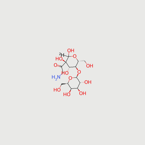 [2H]C1(O)O[C@H](CO)[C@@H](O[C@@H]2O[C@H](CO)[C@H](O)[C@H](O)[C@H]2O)[C@H](O)[C@]1(O)C(=O)CN